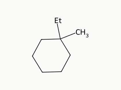 [CH2]CC1(C)CCCCC1